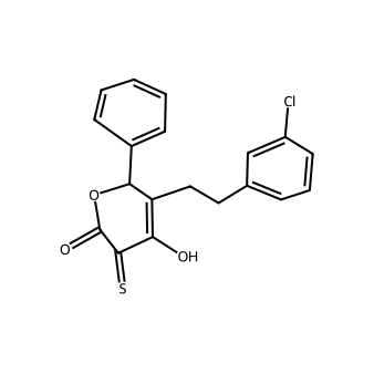 O=C1OC(c2ccccc2)C(CCc2cccc(Cl)c2)=C(O)C1=S